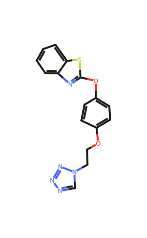 c1ccc2sc(Oc3ccc(OCCn4cnnn4)cc3)nc2c1